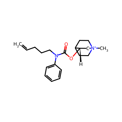 C=CCCCN(C(=O)O[C@H]1C[N+]2(C)CCC1CC2)c1ccccc1